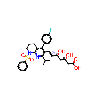 CC(C)c1nc2c(c(-c3ccc(F)cc3)c1/C=C/[C@@H](O)C[C@@H](O)CC(=O)O)CCCN2S(=O)(=O)c1ccccc1